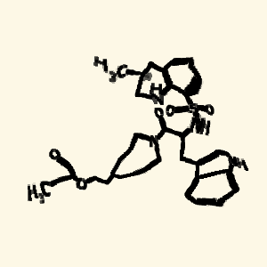 CC(=O)OCCC1CCN(C(=O)C(Cc2c[nH]c3ccccc23)NS(=O)(=O)c2cccc3c2NC[C@@H](C)C3)CC1